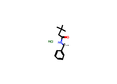 C[C@@H](NC(=O)CC(C)(C)C)c1ccccc1.Cl